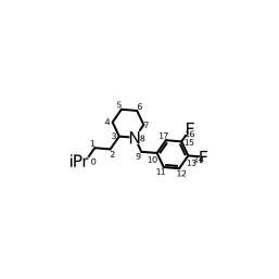 CC(C)CCC1CCCCN1Cc1ccc(F)c(F)c1